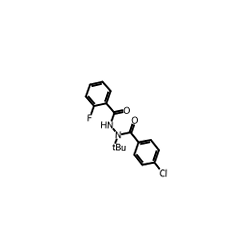 CC(C)(C)N(NC(=O)c1ccccc1F)C(=O)c1ccc(Cl)cc1